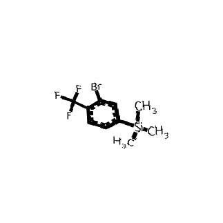 C[Si](C)(C)c1ccc(C(F)(F)F)c(Br)c1